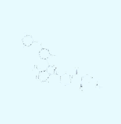 CC(C)(/C=C(\C#N)C(=O)N1CCC[C@@H](n2nc(-c3ccc(Oc4ccccc4)cc3F)c3c(N)ncnc32)C1)CO